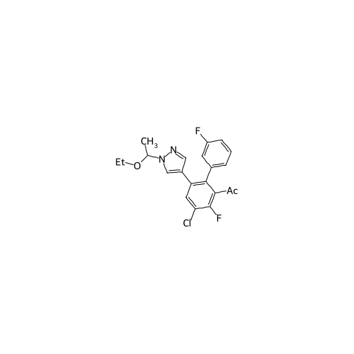 CCOC(C)n1cc(-c2cc(Cl)c(F)c(C(C)=O)c2-c2cccc(F)c2)cn1